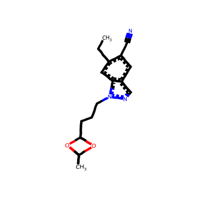 CCc1cc2c(cnn2CCCC2OC(C)O2)cc1C#N